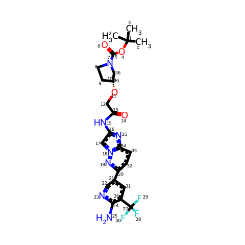 CC(C)(C)OC(=O)N1CC[C@@H](OCC(=O)Nc2cn3nc(-c4cnc(N)c(C(F)(F)F)c4)ccc3n2)C1